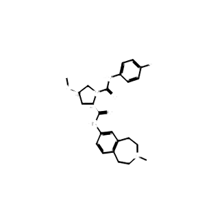 CO[C@@H]1C[C@H](C(=O)Nc2ccc3c(c2)CCN(C)CC3)N(C(=O)Nc2ccc(F)cc2)C1